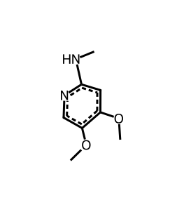 CNc1cc(OC)c(OC)cn1